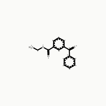 CCOC(=O)c1cccc(C(=S)c2ccccc2)c1